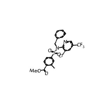 COC(=O)c1ccc(S(=O)(=O)N(Cc2ccccc2)c2ncc(C(F)(F)F)cc2Cl)cc1C